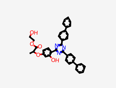 CC(Oc1ccc(-c2nc(-c3ccc(-c4ccccc4)cc3)nc(-c3ccc(-c4ccccc4)cc3)n2)c(O)c1)C(=O)OCCO